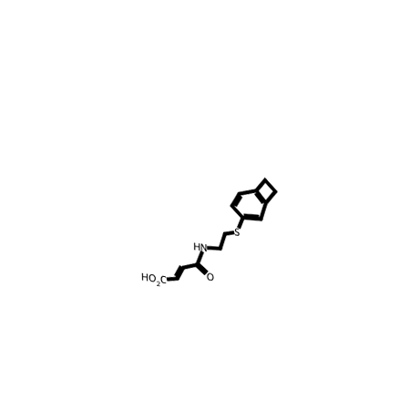 O=C(O)C=CC(=O)NCCSc1ccc2c(c1)CC2